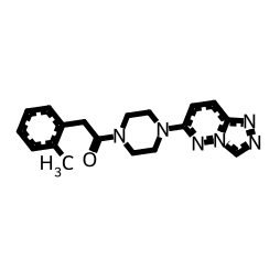 Cc1ccccc1CC(=O)N1CCN(c2ccc3nncn3n2)CC1